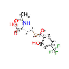 CC(=O)N[C@H](CCSC(=O)c1ccc(C(F)(F)F)cc1O)C(=O)O